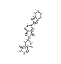 c1ccc2oc(-c3ccc4c(c3)NC(c3ccc5c(c3)NCCO5)O4)nc2c1